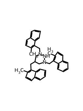 Cc1ccc2ccccc2c1CC1CN(Cc2c(C)ccc3ccccc23)NN(Cc2c(C)ccc3ccccc23)C1